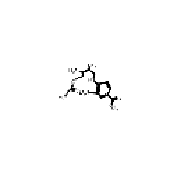 CC(CNc1ccc(C(N)=O)cc1[N+](=O)[O-])=C(C)COC(N)=O